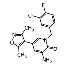 Cc1noc(C)c1-c1cc(N)c(=O)n(Cc2ccc(F)c(Cl)c2)c1